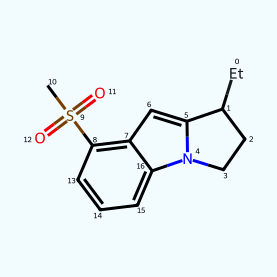 CCC1CCn2c1cc1c(S(C)(=O)=O)cccc12